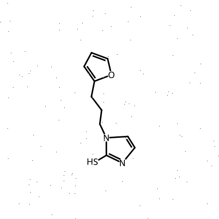 Sc1nccn1CCCc1ccco1